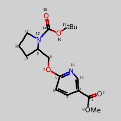 COC(=O)c1ccc(OCC2CCCN2C(=O)OC(C)(C)C)nc1